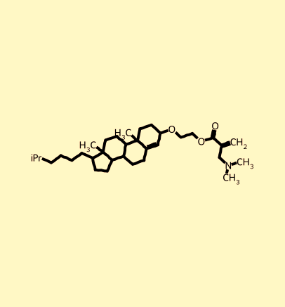 C=C(CN(C)C)C(=O)OCCOC1C=C2CCC3C(CCC4(C)C(CCCCC(C)C)CCC34)C2(C)CC1